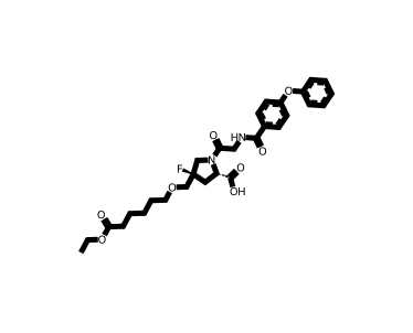 CCOC(=O)CCCCCOC[C@@]1(F)C[C@@H](C(=O)O)N(C(=O)CNC(=O)c2ccc(Oc3ccccc3)cc2)C1